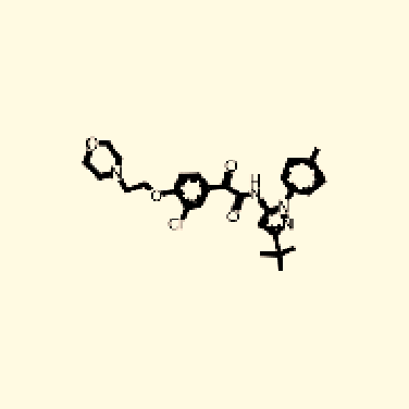 Cc1ccc(-n2nc(C(C)(C)C)cc2NC(=O)C(=O)c2ccc(OCCN3CCOCC3)c(Cl)c2)cc1